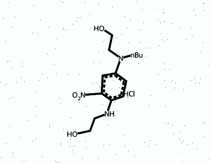 CCCCN(CCO)c1ccc(NCCO)c([N+](=O)[O-])c1.Cl